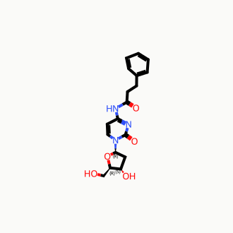 O=C(CCc1ccccc1)Nc1ccn([C@H]2C[C@H](O)[C@@H](CO)O2)c(=O)n1